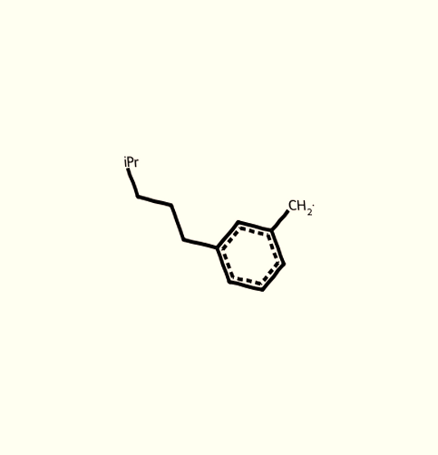 [CH2]c1cccc(CCCC(C)C)c1